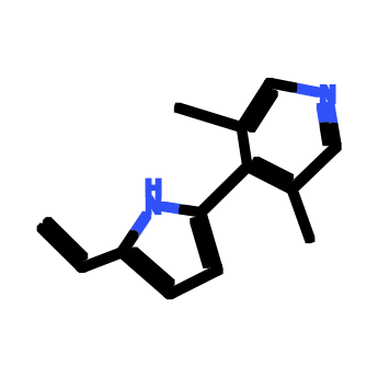 C=Cc1ccc(-c2c(C)cncc2C)[nH]1